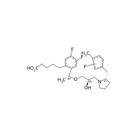 Cc1ccc(C[C@@H]2CCCN2C[C@@H](O)CO[C@H](C)c2cc(F)c(F)cc2CCCCC(=O)O)cc1F